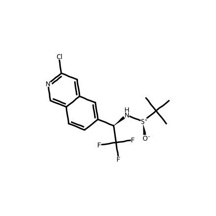 CC(C)(C)[S@@+]([O-])N[C@H](c1ccc2cnc(Cl)cc2c1)C(F)(F)F